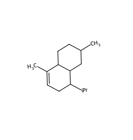 CC1=CCC(C(C)C)C2CC(C)CCC12